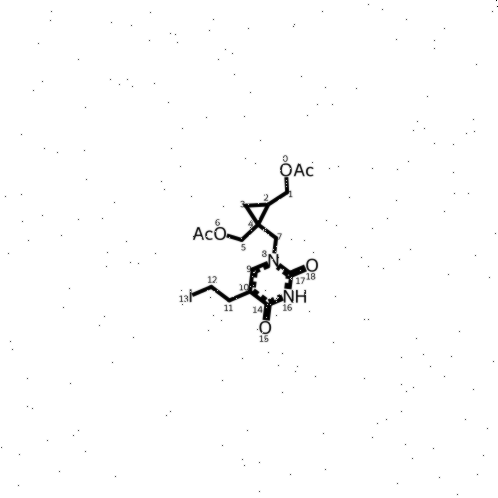 CC(=O)OCC1CC1(COC(C)=O)Cn1cc(CCI)c(=O)[nH]c1=O